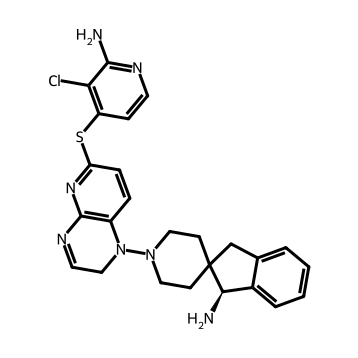 Nc1nccc(Sc2ccc3c(n2)N=CCN3N2CCC3(CC2)Cc2ccccc2[C@H]3N)c1Cl